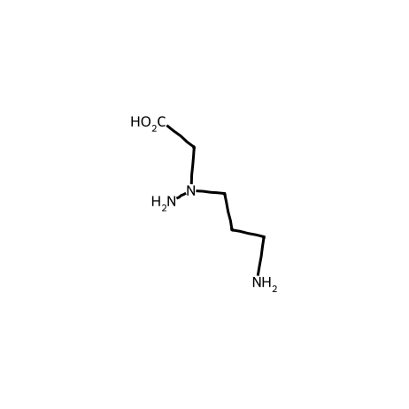 NCCCN(N)CC(=O)O